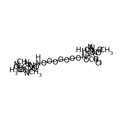 COC(=O)C[C@@H]1N=C(c2ccc(Cl)cc2)c2c(sc(C(=O)NCCOCCOCCOCCOCCOCCOCCOCCNC(=O)Cn3c(=O)n([C@H](C)c4ccccn4)c4c5cc(OC)c(-c6c(C)noc6C)cc5ncc43)c2C)-n2c(C)nnc21